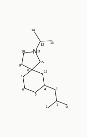 CC(C)CC1CCCC2(CCN(C(C)C)C2)C1